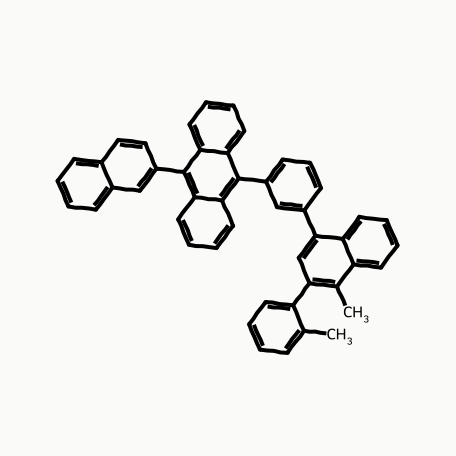 Cc1ccccc1-c1cc(-c2cccc(-c3c4ccccc4c(-c4ccc5ccccc5c4)c4ccccc34)c2)c2ccccc2c1C